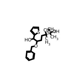 CC(C)(CCC(OCc1ccccc1)C(O)c1cccs1)[Si](C)(C)O